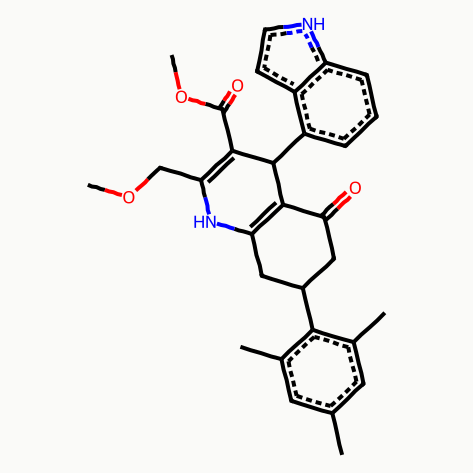 COCC1=C(C(=O)OC)C(c2cccc3[nH]ccc23)C2=C(CC(c3c(C)cc(C)cc3C)CC2=O)N1